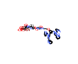 CCc1c2c(nc3ccc(OC(=O)N4CCC(C(=O)NCCCCOc5cc(CN(Cc6ccccn6)Cc6ccccn6)cc(CN(Cc6ccccn6)Cc6ccccn6)c5)CC4)cc13)-c1cc3c(c(=O)n1C2)COC(=O)[C@@]3(O)CC